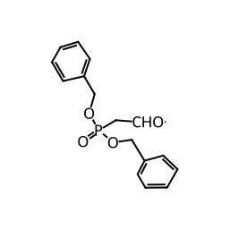 O=[C]CP(=O)(OCc1ccccc1)OCc1ccccc1